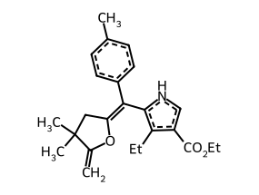 C=C1OC(=C(c2ccc(C)cc2)c2[nH]cc(C(=O)OCC)c2CC)CC1(C)C